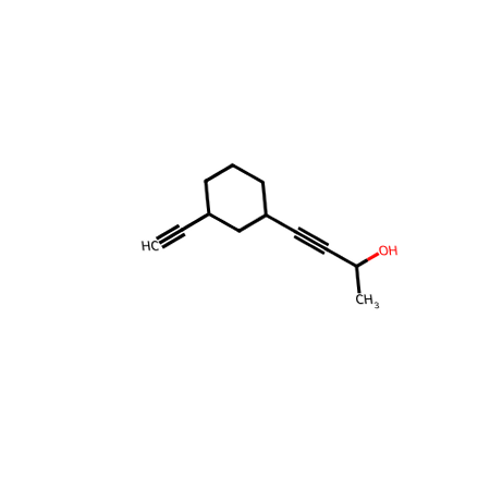 C#CC1CCCC(C#CC(C)O)C1